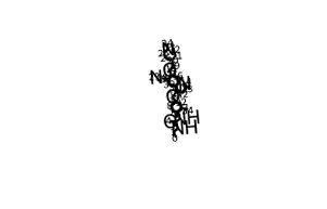 CCNC(=O)Nc1ccc(Oc2ccnc3cc(OCC4CCN(C)CC4)c(C#N)cc23)cc1C